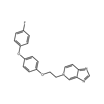 Fc1ccc(Oc2ccc(OCCn3ccc4ncnc-4c3)cc2)cc1